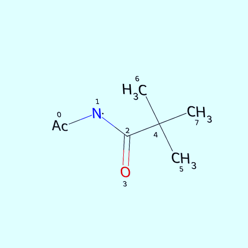 CC(=O)[N]C(=O)C(C)(C)C